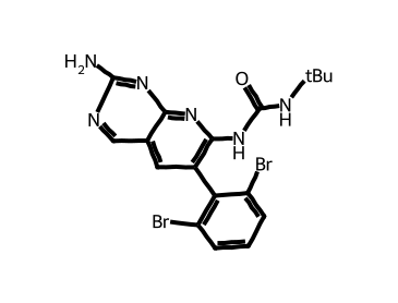 CC(C)(C)NC(=O)Nc1nc2nc(N)ncc2cc1-c1c(Br)cccc1Br